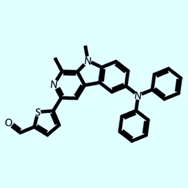 Cc1nc(-c2ccc(C=O)s2)cc2c3cc(N(c4ccccc4)c4ccccc4)ccc3n(C)c12